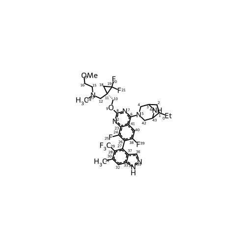 CCC1CC2CN(c3nc(OC[C@]4(CN(C)CCOC)CC4(F)F)nc4c(F)c(-c5c(C(F)(F)F)c(C)cc6[nH]ncc56)c(F)cc34)CC1N2